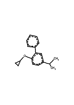 CC(C)c1ccc(OC2CC2)c(-c2ccccc2)c1